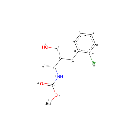 C[C@@H](NC(=O)OC(C)(C)C)[C@H](CO)Cc1ccccc1Br